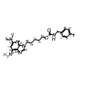 Cc1ccc(CNC(=O)OCCCCCn2cnc3c(N)cc(N(C)C)nc32)cc1